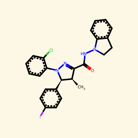 C[C@@H]1C(C(=O)NN2CCc3ccccc32)=NN(c2ccccc2Cl)[C@@H]1c1ccc(I)cc1